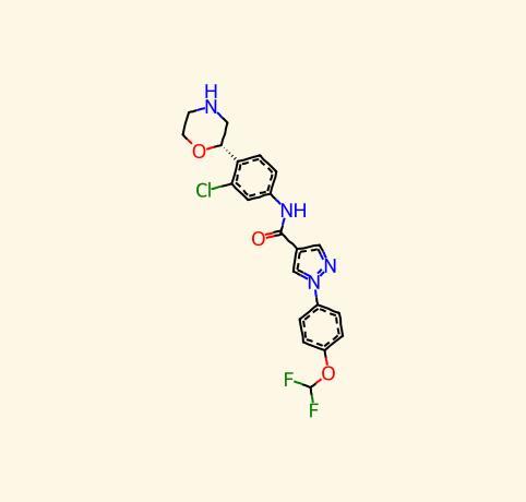 O=C(Nc1ccc([C@H]2CNCCO2)c(Cl)c1)c1cnn(-c2ccc(OC(F)F)cc2)c1